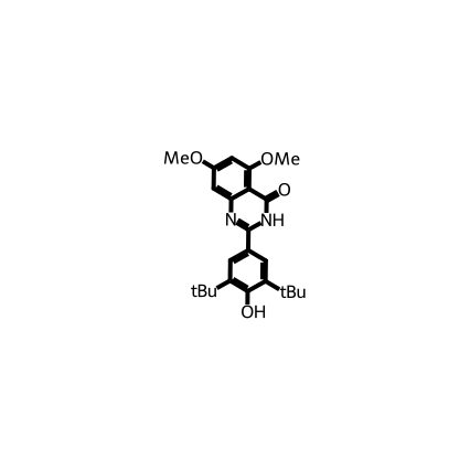 COc1cc(OC)c2c(=O)[nH]c(-c3cc(C(C)(C)C)c(O)c(C(C)(C)C)c3)nc2c1